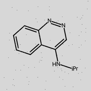 CC(C)Nc1cnnc2ccccc12